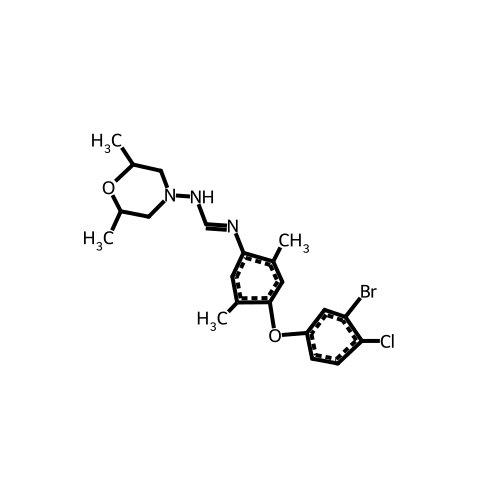 Cc1cc(Oc2ccc(Cl)c(Br)c2)c(C)cc1N=CNN1CC(C)OC(C)C1